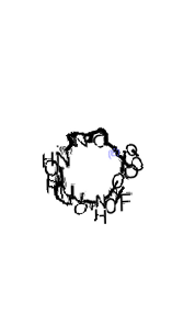 C[C@@H]1NC(=O)[C@H](C(C)(C)F)OC(=O)C2(/C=C/c3ccc4ccc(nc4c3)[C@@H](C)NC(=O)[C@@H]3CCCN(N3)C1=O)COCOC2